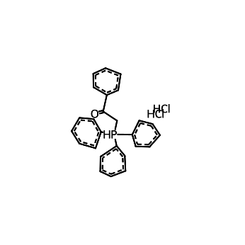 Cl.Cl.O=C(C[PH](c1ccccc1)(c1ccccc1)c1ccccc1)c1ccccc1